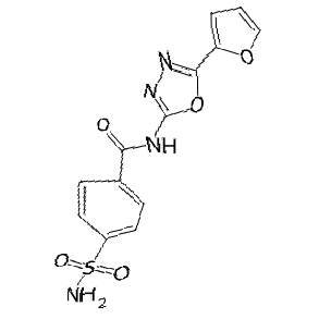 NS(=O)(=O)c1ccc(C(=O)Nc2nnc(-c3ccco3)o2)cc1